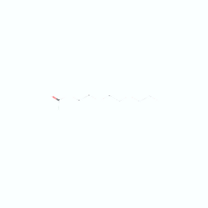 O=C(Cl)OCCOCCOCCO